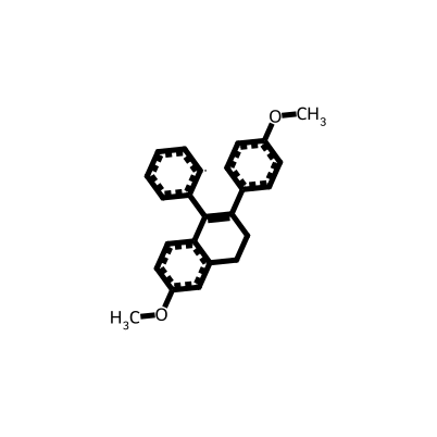 COc1ccc(C2=C(c3[c]cccc3)c3ccc(OC)cc3CC2)cc1